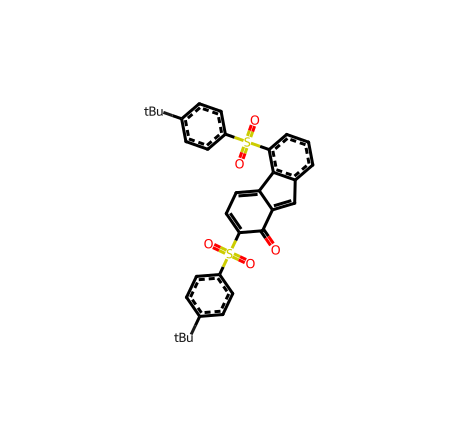 CC(C)(C)c1ccc(S(=O)(=O)C2=CC=C3C(=Cc4cccc(S(=O)(=O)c5ccc(C(C)(C)C)cc5)c43)C2=O)cc1